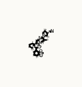 Cc1cn2nc([C@@H]3CCCCN3C(=O)c3cccc4c3OCO4)cc2nc1N1CC[C@H](C#N)C1